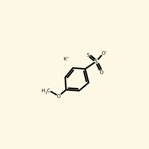 COc1ccc(S(=O)([O-])=S)cc1.[K+]